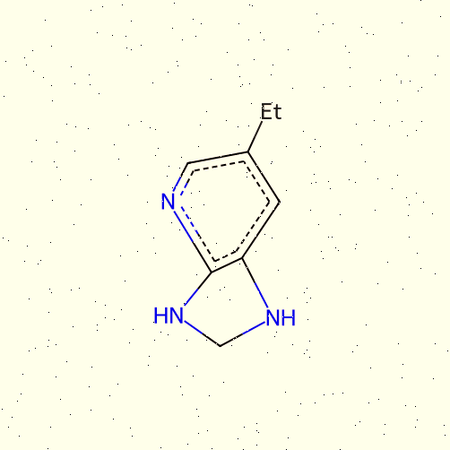 CCc1cnc2c(c1)NCN2